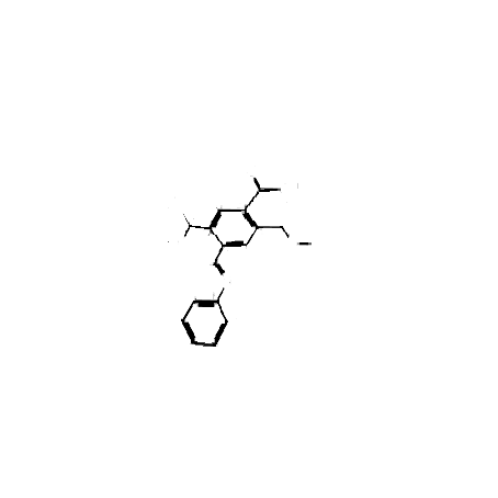 COCc1cc(C=Nc2ccccc2)c(C(C)C)cc1C(C)C